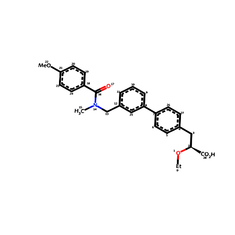 CCO[C@@H](Cc1ccc(-c2cccc(CN(C)C(=O)c3ccc(OC)cc3)c2)cc1)C(=O)O